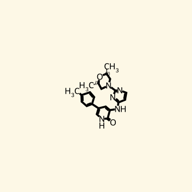 Cc1ccc(-c2c[nH]c(=O)c(Nc3ccnc(N4C[C@@H](C)O[C@@H](C)C4)n3)c2)cc1